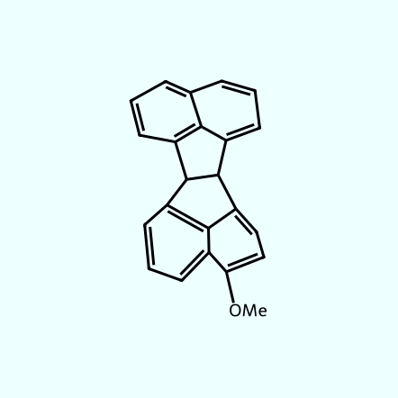 COc1ccc2c3c(cccc13)C1c3cccc4cccc(c34)C21